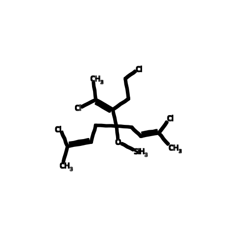 CC(Cl)=CCC(CC=C(C)Cl)(O[SiH3])C(CCCl)=C(C)Cl